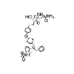 Cc1c(NS(C)(=O)=O)cccc1N(Cc1ccccc1)Cc1ccc(Oc2ccc(CCCC(=O)[C@](N)(CCC(N)=O)C(=O)O)cc2)cc1